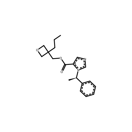 CCCC1(COC(=O)c2cncn2[C@H](C)c2ccccc2)COC1